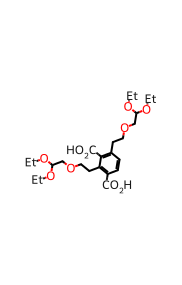 CCOC(COCCc1ccc(C(=O)O)c(CCOCC(OCC)OCC)c1C(=O)O)OCC